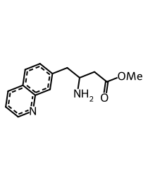 COC(=O)CC(N)Cc1ccc2cccnc2c1